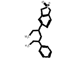 CCC(CC(CC)c1ccc2c(c1)CS(=O)(=O)C2)c1ccccc1